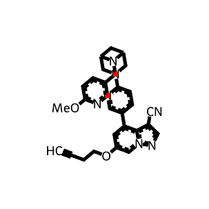 C#CCCOc1cc(-c2ccc(N3CC4CC(C3)N4Cc3ccc(OC)nc3)nc2)c2c(C#N)cnn2c1